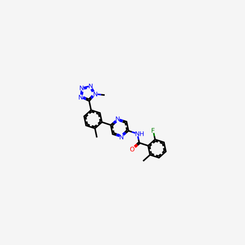 Cc1ccc(-c2nnnn2C)cc1-c1cnc(NC(=O)c2c(C)cccc2F)cn1